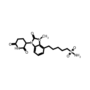 Cn1c(=O)n(C2CCC(=O)NC2=O)c2cccc(CCCCCS(N)(=O)=O)c21